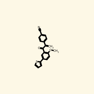 C=C(C(=O)c1cc(-c2cccs2)ccc1OC)c1ccc(C#N)cc1